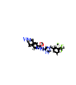 O=C(Nc1cn(Cc2cccc(C(F)(F)F)c2)cn1)c1ccc2c(c1)CNCC2